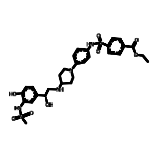 CCOC(=O)c1ccc(S(=O)(=O)Nc2ccc(N3CCC(NC[C@@H](O)c4ccc(O)c(NS(C)(=O)=O)c4)CC3)cc2)cc1